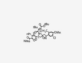 CCC[C@H](NC(=O)[C@@H]1C[C@]2(CC(c3cc(Cl)c(OC)cc3C)=NO2)CN1C(=O)[C@@H](NC(=O)OC(C)(C)C)C(C)(C)C)C(=O)C(=O)NC